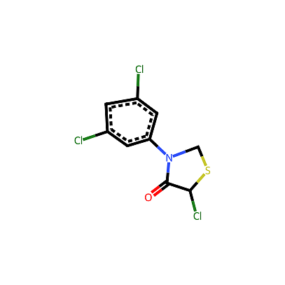 O=C1C(Cl)SCN1c1cc(Cl)cc(Cl)c1